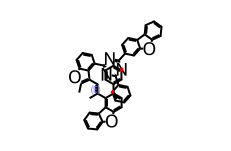 C/C(=C\c1c(C)oc2cccc(-c3nc(-c4ccccc4)nc(-c4ccc5c(c4)oc4ccccc45)n3)c12)c1c(-c2ccccc2)ccc2oc3ccccc3c12